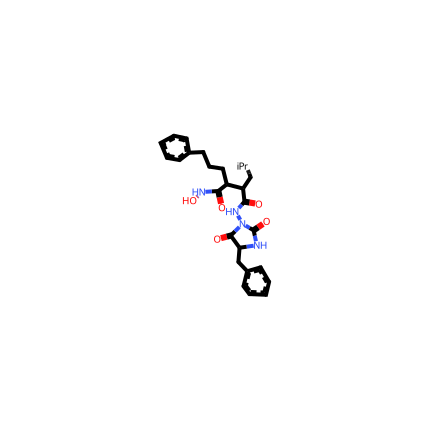 CC(C)CC(C(=O)NN1C(=O)NC(Cc2ccccc2)C1=O)C(CCCc1ccccc1)C(=O)NO